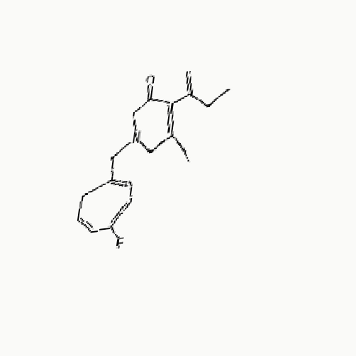 C=C(CC)C1=C(CC)CN(CC2=CC=C(F)C=CC2)CC1=O